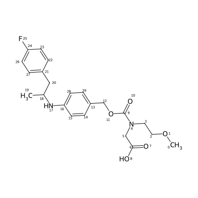 COCCN(CC(=O)O)C(=O)OCc1ccc(NC(C)Cc2ccc(F)cc2)cc1